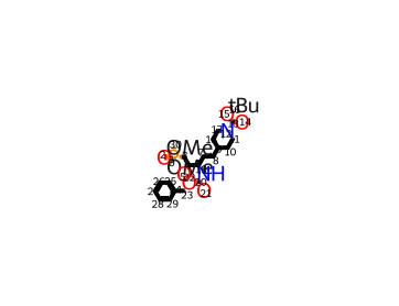 COP(=O)(CC(=O)C(CCC1CCN(C(=O)OC(C)(C)C)CC1)NC(=O)OCc1ccccc1)OC